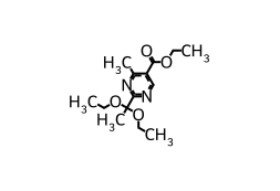 CCOC(=O)c1cnc(C(C)(OCC)OCC)nc1C